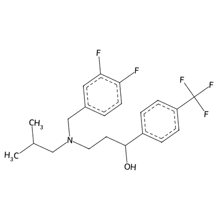 CC(C)CN(CCC(O)c1ccc(C(F)(F)F)cc1)Cc1ccc(F)c(F)c1